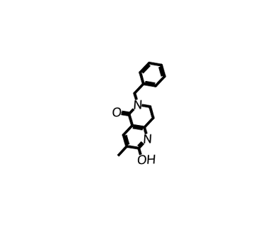 Cc1cc2c(nc1O)CCN(Cc1ccccc1)C2=O